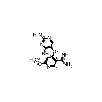 COc1cc(Oc2cnc(N)nc2N)c(C(=N)N)cn1